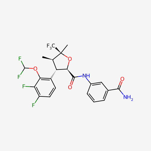 C[C@@H]1[C@@H](c2ccc(F)c(F)c2OC(F)F)[C@H](C(=O)Nc2cccc(C(N)=O)c2)O[C@]1(C)C(F)(F)F